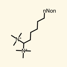 CCCCCCCCCCCCCCC([N+](C)(C)C)[N+](C)(C)C